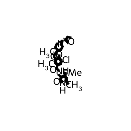 CSc1cc(C)[nH]c(=O)c1CNC(=O)c1cc(Cl)c2c(c1C)O[C@@](C)(C1CCN(C[C@H]3CCOC3)CC1)O2